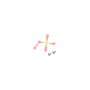 O=S(=O)([O-])O[O-].[Li+].[Li+]